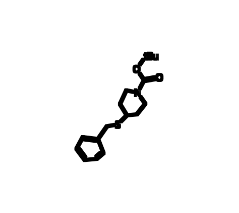 CC(C)(C)OC(=O)N1CCC(SCc2ccccc2)CC1